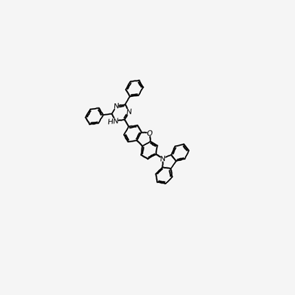 c1ccc(C2=NC(c3ccccc3)NC(c3ccc4c(c3)oc3cc(-n5c6ccccc6c6ccccc65)ccc34)=N2)cc1